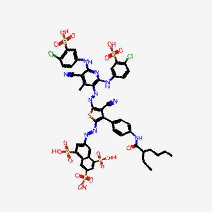 CCCCC(CC)C(=O)Nc1ccc(-c2c(N=Nc3cc(S(=O)(=O)O)c4cc(S(=O)(=O)O)cc(S(=O)(=O)O)c4c3)sc(N=Nc3c(Nc4ccc(Cl)c(S(=O)(=O)O)c4)nc(Nc4ccc(Cl)c(S(=O)(=O)O)c4)c(C#N)c3C)c2C#N)cc1